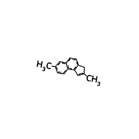 CC1=Cc2c(ccc3cc(C)ccc23)C1